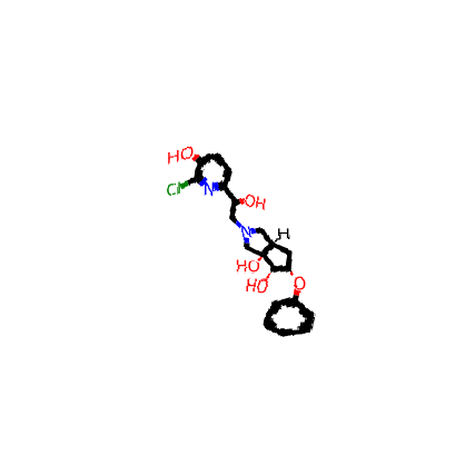 Oc1ccc(C(O)CN2C[C@H]3C[C@H](Oc4ccccc4)[C@H](O)[C@@]3(O)C2)nc1Cl